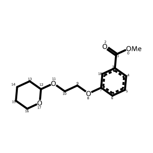 COC(=O)c1cccc(OCCOC2CCCCO2)c1